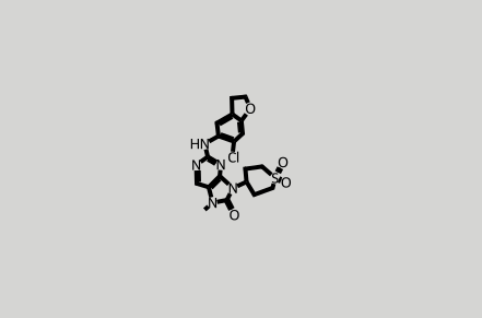 Cn1c(=O)n(C2CCS(=O)(=O)CC2)c2nc(Nc3cc4c(cc3Cl)OCC4)ncc21